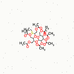 CCS[C@@H](COC(C)=O)OC(COC(C)=O)[C@H](COC(C)=O)O[C@H]1OC(COC(C)=O)[C@@H](OC(C)=O)C(OC(C)=O)C1OC(C)=O